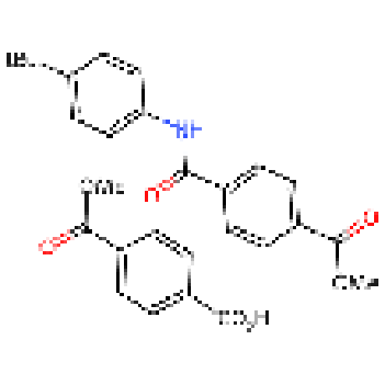 COC(=O)c1ccc(C(=O)Nc2ccc(C(C)(C)C)cc2)cc1.COC(=O)c1ccc(C(=O)O)cc1